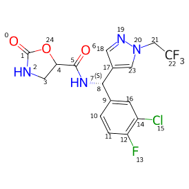 O=C1NCC(C(=O)N[C@@H](c2ccc(F)c(Cl)c2)c2cnn(CC(F)(F)F)c2)O1